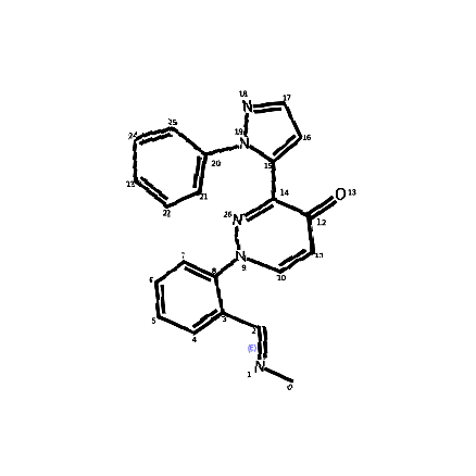 C/N=C/c1ccccc1-n1ccc(=O)c(-c2ccnn2-c2ccccc2)n1